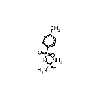 Cc1ccc(S(=O)(=O)NP(N)(N)=O)cc1